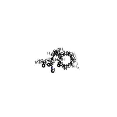 CNC(=O)c1ccccc1Sc1ccc2c(/C=C/c3ccccn3)nn(C(=O)C(CCC(=O)O)NC(=O)CCC(=O)NC(C(=O)N[C@H](CCN)C(=O)N[C@@H]3CCNC(=O)C([C@@H](C)O)NC(=O)[C@H](CCN)NC(=O)C(CCN)NC(=O)[C@H](CC(C)C)NC(=O)[C@@H](Cc4ccccc4)NC(=O)C(CCN)NC3=O)[C@H](C)O)c2c1